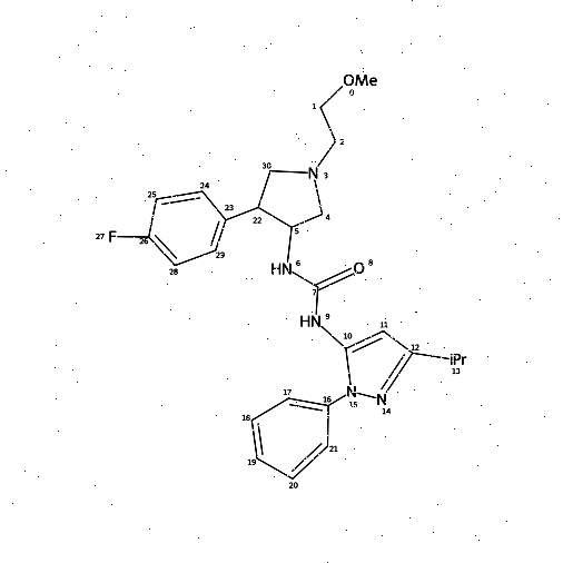 COCCN1CC(NC(=O)Nc2cc(C(C)C)nn2-c2ccccc2)C(c2ccc(F)cc2)C1